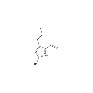 CCCc1cc(Br)[nH]c1C=O